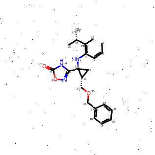 C/C=C\C(N[C@@]1(c2noc(=O)[nH]2)C[C@@H]1COCc1ccccc1)=C(/C)[C@H](C)C(C)C